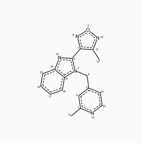 Cc1cc(Cn2c(-c3nonc3C)nc3ccccc32)ccn1